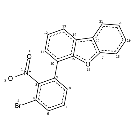 O=[N+]([O-])c1c(Br)cccc1-c1cccc2c1oc1ccccc12